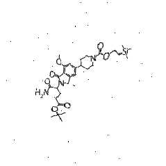 COc1cc(C2CCN(C(=O)OCC[Si](C)(C)C)CC2)cc2c1C(=O)N(C(CCC(=O)OC(C)(C)C)C(N)=O)C2